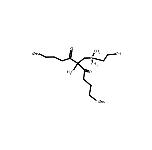 CCCCCCCCCCCCCC(=O)C(C)(C[N+](C)(C)CCO)C(=O)CCCCCCCCCCCCC